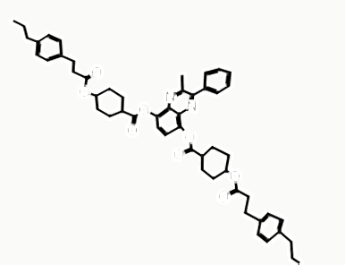 CCCc1ccc(CCC(=O)OC2CCC(C(=O)Oc3ccc(OC(=O)C4CCC(OC(=O)CCc5ccc(CCC)cc5)CC4)c4nc(-c5ccccc5)c(C)nc34)CC2)cc1